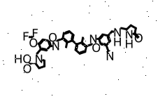 Cc1c(-c2nc3cc(CN4CCC[C@H]4C(=O)O)c(OC(F)F)cc3o2)cccc1-c1cccc(-c2nc3cc(CNCC4CCC(=O)N4)cc(C#N)c3o2)c1C